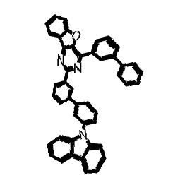 c1ccc(-c2cccc(-c3nc(-c4cccc(-c5cccc(-n6c7ccccc7c7ccccc76)c5)c4)nc4c3oc3ccccc34)c2)cc1